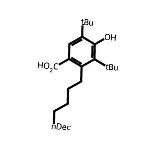 CCCCCCCCCCCCCCc1c(C(=O)O)cc(C(C)(C)C)c(O)c1C(C)(C)C